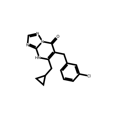 O=c1c(Cc2cccc(Cl)c2)c(CC2CC2)[nH]c2ncnn12